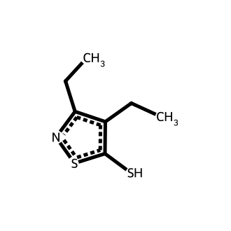 CCc1nsc(S)c1CC